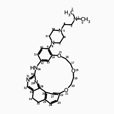 CN(C)CCN1CCN(c2ccc3cc2OCCOCCOc2ccc4c(c2)-c2nc(ncc2CC4)N3)CC1